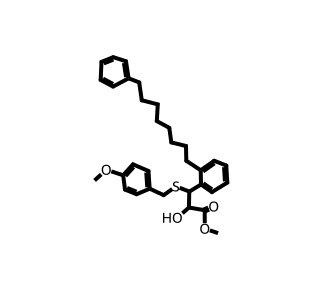 COC(=O)C(O)C(SCc1ccc(OC)cc1)c1ccccc1CCCCCCCCc1ccccc1